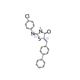 CN1C(=O)/C(=C/c2ccc(-c3ccccc3)cc2)S/C1=N/c1ccc(Cl)cc1